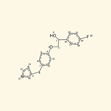 OC(COc1ccc(Cc2cncs2)cc1)c1ccc(F)cc1